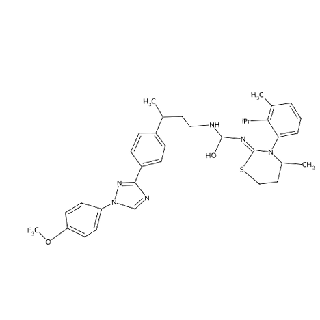 Cc1cccc(N2/C(=N/C(O)NCCC(C)c3ccc(-c4ncn(-c5ccc(OC(F)(F)F)cc5)n4)cc3)SCCC2C)c1C(C)C